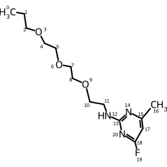 CCCOCCOCCOCCNc1nc(C)cc(F)n1